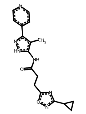 Cc1c(-c2ccncc2)n[nH]c1NC(=O)CCc1nc(C2CC2)no1